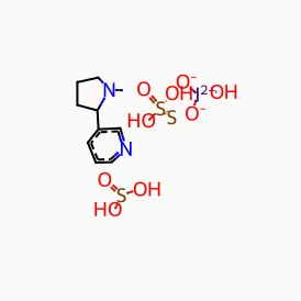 CN1CCCC1c1cccnc1.O=S(O)(O)=S.O=S(O)O.[O-][I+2]([O-])O